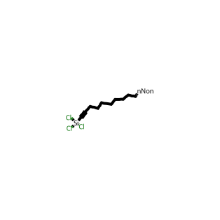 CCCCCCCCCCCCCCCCCC#C[Si](Cl)(Cl)Cl